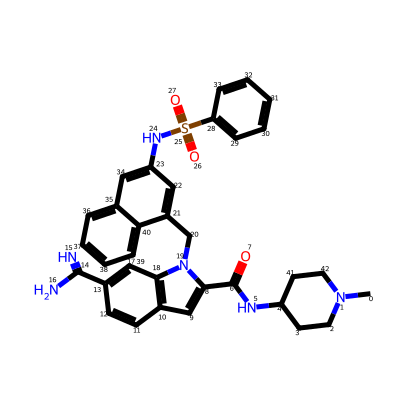 CN1CCC(NC(=O)c2cc3ccc(C(=N)N)cc3n2Cc2cc(NS(=O)(=O)c3ccccc3)cc3ccccc23)CC1